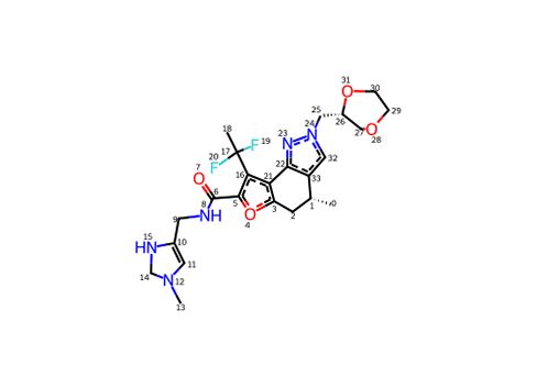 C[C@@H]1Cc2oc(C(=O)NCC3=CN(C)CN3)c(C(C)(F)F)c2-c2nn(C[C@H]3COCCO3)cc21